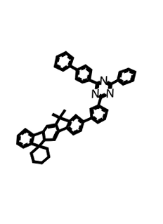 CC1(C)C2=CC3c4ccccc4C4(CCCCC4)C3C=C2c2ccc(-c3cccc(-c4nc(-c5ccccc5)nc(-c5ccc(-c6ccccc6)cc5)n4)c3)cc21